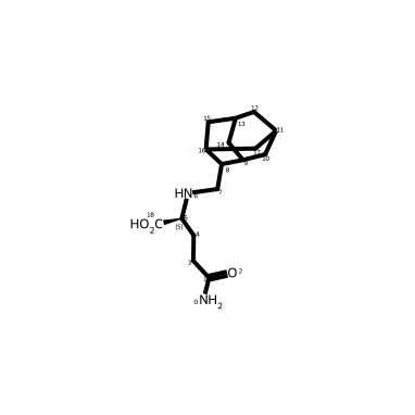 NC(=O)CC[C@H](NCC1C2CC3CC(C2)CC1C3)C(=O)O